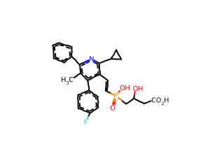 Cc1c(-c2ccccc2)nc(C2CC2)c(C=CP(=O)(O)CC(O)CC(=O)O)c1-c1ccc(F)cc1